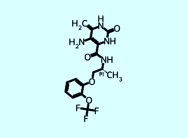 C=C1NC(=O)NC(C(=O)N[C@H](C)COc2ccccc2OC(F)(F)F)=C1N